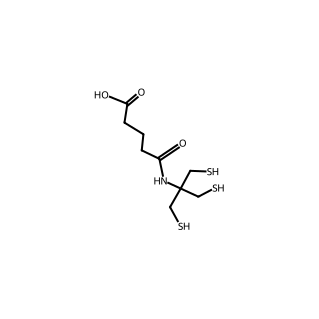 O=C(O)CCCC(=O)NC(CS)(CS)CS